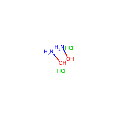 Cl.Cl.NO.NO